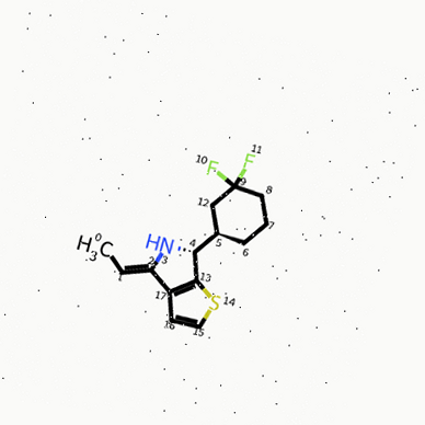 C/C=C1\N[C@H]([C@@H]2CCCC(F)(F)C2)c2sccc21